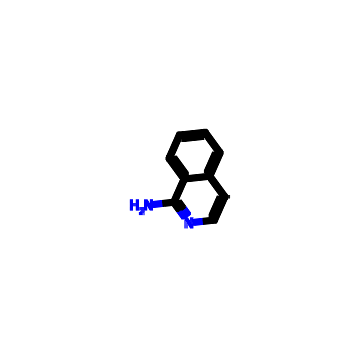 Nc1nc[c]c2ccccc12